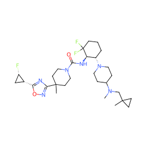 CN(CC1(C)CC1)C1CCN([C@H]2CCCC(F)(F)[C@@H]2NC(=O)N2CCC(C)(c3noc([C@@H]4C[C@@H]4F)n3)CC2)CC1